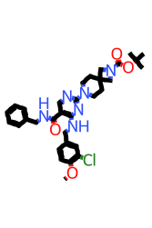 COc1ccc(CNc2nc(N3CCC4(CC3)CN(C(=O)OC(C)(C)C)C4)ncc2C(=O)NCc2ccccc2)cc1Cl